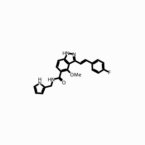 COc1c(C(=O)NCc2ccc[nH]2)ccc2[nH]nc(/C=C/c3ccc(F)cc3)c12